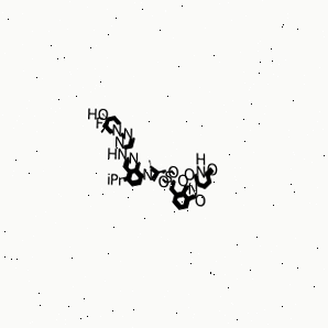 CC(C)c1ccc(N2C[C@H](CS(=O)(=O)CCc3cccc4c3C(=O)N(C3CCC(=O)NC3=O)C4=O)[C@H]2C)c2cnc(Nc3ccnc(N4CC[C@@H](O)[C@@](C)(F)C4)n3)cc12